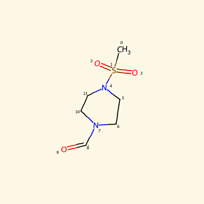 CS(=O)(=O)N1CCN([C]=O)CC1